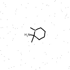 CN1CCCCC1(C)N